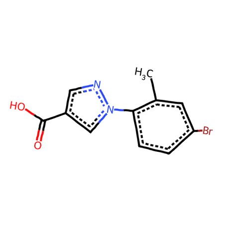 Cc1cc(Br)ccc1-n1cc(C(=O)O)cn1